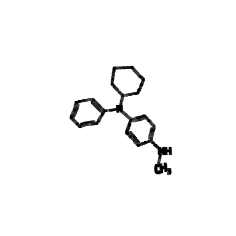 CNc1ccc(N(c2ccccc2)C2CCCCC2)cc1